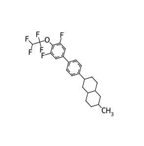 CC1CCC2CC(c3ccc(-c4cc(F)c(OC(F)(F)C(F)F)c(F)c4)cc3)CCC2C1